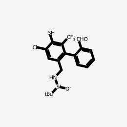 CC(C)(C)[S+]([O-])NCc1cc(Cl)c(S)c(C(F)(F)F)c1-c1ccccc1C=O